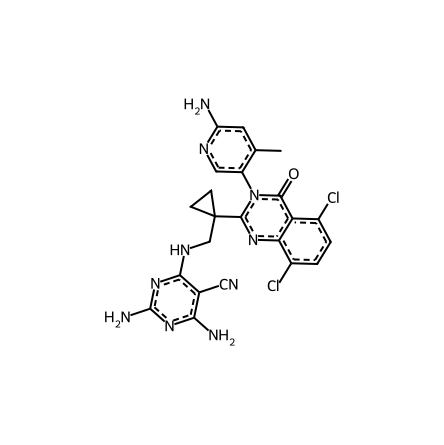 Cc1cc(N)ncc1-n1c(C2(CNc3nc(N)nc(N)c3C#N)CC2)nc2c(Cl)ccc(Cl)c2c1=O